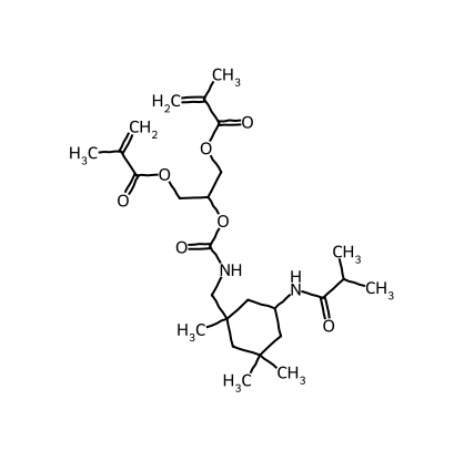 C=C(C)C(=O)OCC(COC(=O)C(=C)C)OC(=O)NCC1(C)CC(NC(=O)C(C)C)CC(C)(C)C1